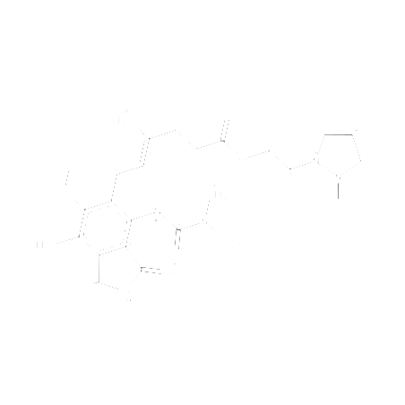 COc1c(C)c2c(c(NC(=O)N(C)C)c1C/C=C(\C)CCC(=O)OCCN1CCCN1C)C(=O)OC2